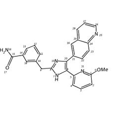 COc1cccc(-c2[nH]c(Cc3cccc(C(N)=O)c3)nc2-c2ccc3ncccc3c2)n1